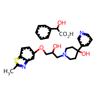 Cc1nc2cc(OCC(O)CN3CCC(O)(c4cccnc4)CC3)ccc2s1.O=C(O)C(O)c1ccccc1